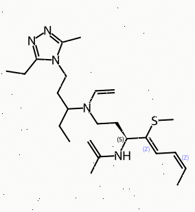 C=CN(CC[C@H](NC(=C)C)/C(=C/C=C\C)SC)C(CC)CCn1c(C)nnc1CC